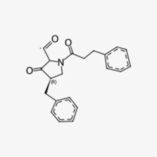 O=[C]C1C(=O)[C@H](Cc2ccccc2)CN1C(=O)CCc1ccccc1